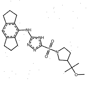 COC(C)(C)C1CCN(S(=O)(=O)c2nnc(Nc3c4c(cc5c3CCC5)CCC4)[nH]2)C1